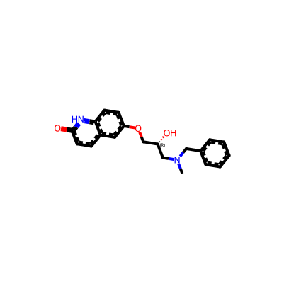 CN(Cc1ccccc1)C[C@@H](O)COc1ccc2[nH]c(=O)ccc2c1